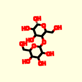 OCC1O[C@@H](O[C@@H]2C(CO)O[C@@H](O)C(O)C2O)C(O)C(O)[C@H]1O